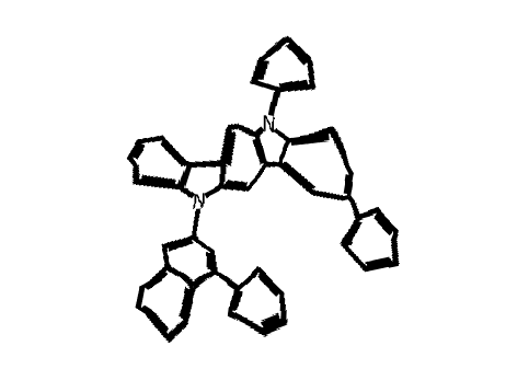 c1ccc(-c2ccc3c(c2)c2cc4c(cc2n3-c2ccccc2)c2ccccc2n4-c2cc(-c3ccccc3)c3ccccc3c2)cc1